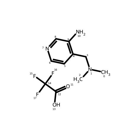 CN(C)Cc1ccncc1N.O=C(O)C(F)(F)F